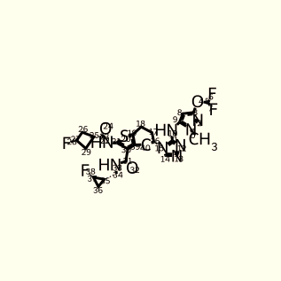 Cn1nc(OC(F)F)cc1Nc1nncn1[C@H]1CCc2sc(NC(=O)[C@H]3C[C@H](F)C3)c(C(=O)NC[C@@H]3C[C@@H]3F)c2C1